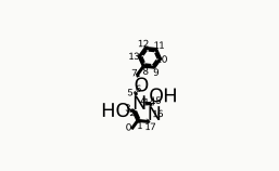 CC1=C(O)N(COCc2ccccc2)C(O)N=C1